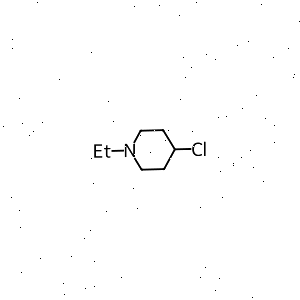 CCN1CCC(Cl)CC1